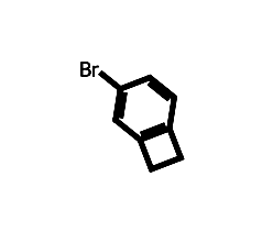 Brc1ccc2c(c1)CC2